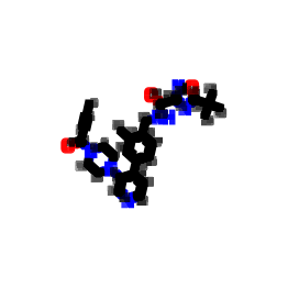 CC#CC(=O)N1CCN(c2cnccc2-c2ccc(CNC(=O)c3noc(C(C)(C)C)n3)c(C)c2)CC1